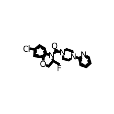 O=C(N1CCN(c2ccccn2)CC1)N1c2ccc(Cl)cc2OCC1CF